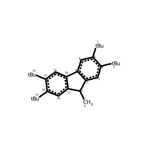 CC1c2cc(C(C)(C)C)c(C(C)(C)C)cc2-c2cc(C(C)(C)C)c(C(C)(C)C)cc21